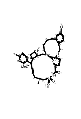 CO[C@@]1(c2ccc(F)nc2)/C=C/C[C@H](C)[C@@H](C)S(=O)(=O)NC(=O)c2ccc3c(c2)N(CCCCc2cc(Cl)ccc2CO3)C[C@@H]2CC[C@H]21